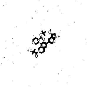 COc1c[nH]c2ncc(-c3cc4c(c([C@@H]5COCCN5C(=O)OC(C)(C)C)c3)CN(C(=O)C(C)(C)O)CC4)cc12